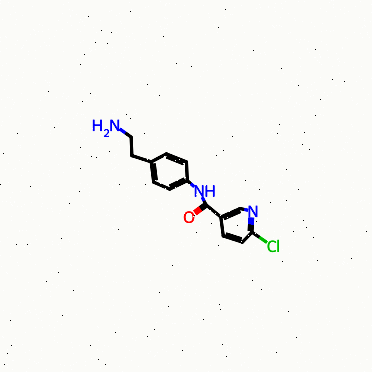 NCCc1ccc(NC(=O)c2ccc(Cl)nc2)cc1